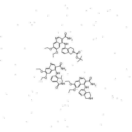 CCOc1cc2ncc(C(N)=O)c(Nc3cccc4c3C(C)CNC4=O)c2cc1OCC.CCOc1cc2ncc(C(N)=O)c(Nc3cccc4c3CCN(C(=O)OC(C)(C)C)C4)c2cc1OCC.CCOc1cc2ncc(C(N)=O)c(Nc3cccc4c3CCNC4)c2cc1OCC